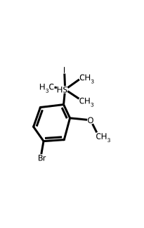 COc1cc(Br)ccc1[SH](C)(C)(C)I